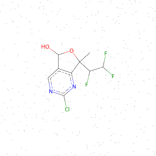 CC1(C(F)C(F)F)OC(O)c2cnc(Cl)nc21